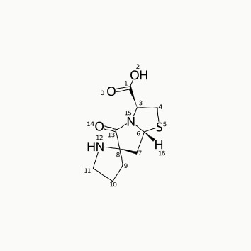 O=C(O)[C@H]1CS[C@@H]2C[C@]3(CCCN3)C(=O)N12